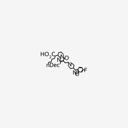 CCCCCCCCCCCCCCC(C(=O)O)C1CCCn2c1nc(C)c(CCN1CCC(c3noc4cc(F)ccc34)CC1)c2=O